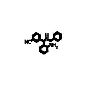 N#Cc1cccc(C(NCc2ccccc2)c2ccccc2N)c1